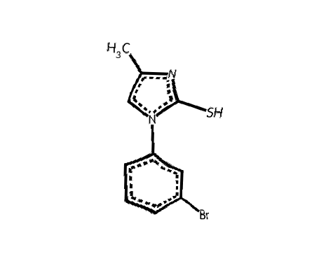 Cc1cn(-c2cccc(Br)c2)c(S)n1